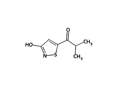 CC(C)C(=O)c1cc(O)ns1